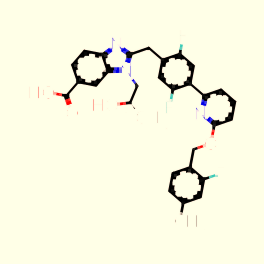 Cc1ccc(COc2cccc(-c3cc(F)c(Cc4nc5ccc(C(=O)O)cc5n4C[C@@H](C)O)cc3F)n2)c(F)c1